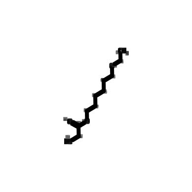 CCOCCCCCCOC(=O)CS